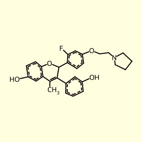 CC1=C(c2cccc(O)c2)C(c2ccc(OCCN3CCCC3)cc2F)Oc2ccc(O)cc21